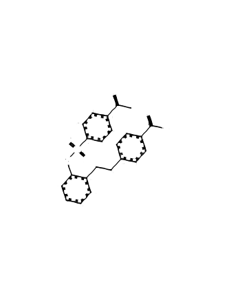 CC(=O)c1ccc(S(=O)(=O)Nc2ccccc2CCc2ccc(C(=O)O)cc2)cc1